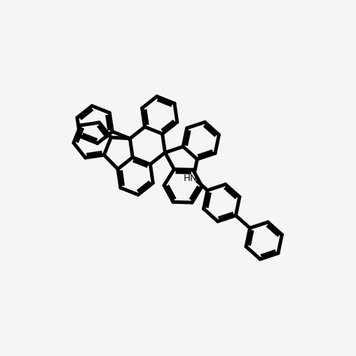 c1ccc(-c2ccc(Nc3ccccc3C3(c4ccccc4)c4ccccc4C4(c5ccccc5)c5ccccc5-c5cccc3c54)cc2)cc1